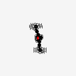 CCC1=C(C2=C(C3c4ccc(-c5ccc(C(=O)O[C@H]6[C@H](O)[C@@H](O)[C@H](O)[C@@H](O)[C@@H]6O)cc5)cc4S(=O)(=O)C3CC)C(F)(F)C(F)(F)C2(F)F)c2ccc(-c3ccc(C(=O)O[C@H]4[C@H](O)[C@@H](O)[C@H](O)[C@@H](O)[C@@H]4O)cc3)cc2S1(=O)=O